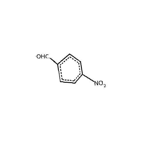 O=[C]c1ccc([N+](=O)[O-])cc1